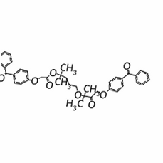 CC(C)(CCCOC(C)(C)C(=O)COc1ccc(C(=O)c2ccccc2)cc1)OC(=O)COc1ccc(C(=O)c2ccccc2)cc1